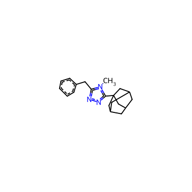 Cn1c(Cc2ccccc2)nnc1C12CC3CC(CC(C3)C1)C2